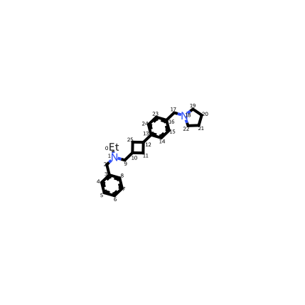 CCN(Cc1ccccc1)CC1CC(c2ccc(CN3CCCC3)cc2)C1